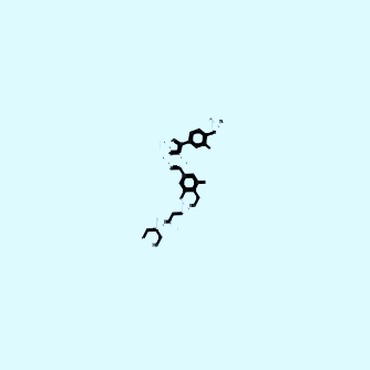 Cc1cc(-c2c[nH]c3ncc(-c4cc(C)c5c(c4)CN(CCC(=O)NC4CCOCC4)CC5)nc23)ccc1C(=O)N(C)C